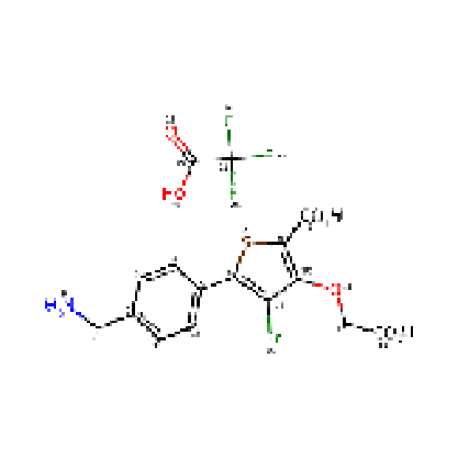 NCc1ccc(-c2sc(C(=O)O)c(OCC(=O)O)c2Br)cc1.O=C(O)C(F)(F)F